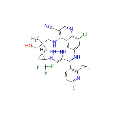 Cc1nc(F)ccc1[C@H](Nc1cc(Cl)c2ncc(C#N)c(NCC(C)(C)CO)c2c1)C1=CN(C2(C(F)(F)F)CC2)NN1